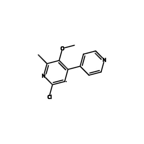 COc1c(-c2ccncc2)[c]c(Cl)nc1C